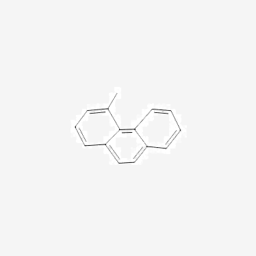 Cc1cccc2ccc3[c]cccc3c12